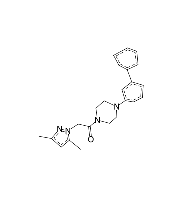 Cc1cc(C)n(CC(=O)N2CCN(c3cccc(-c4ccccc4)c3)CC2)n1